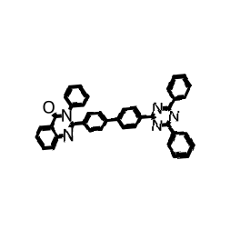 O=c1c2ccccc2nc(-c2ccc(-c3ccc(-c4nc(-c5ccccc5)nc(-c5ccccc5)n4)cc3)cc2)n1-c1ccccc1